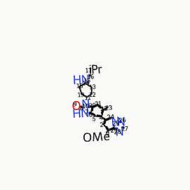 COc1cc(-c2cc3[nH]c(=O)n([C@H]4CC[C@@H](NCC(C)C)CC4)c3cc2C)cn2ncnc12